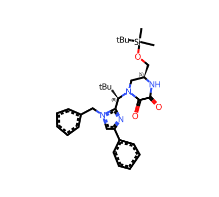 CC(C)(C)[C@H](c1nc(-c2ccccc2)cn1Cc1ccccc1)N1C[C@@H](CO[Si](C)(C)C(C)(C)C)NC(=O)C1=O